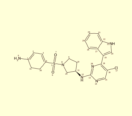 NC1=CC=C(S(=O)(=O)N2CC[C@@H](Nc3ncc(Cl)c(-c4c[nH]c5ccccc45)n3)C2)CC1